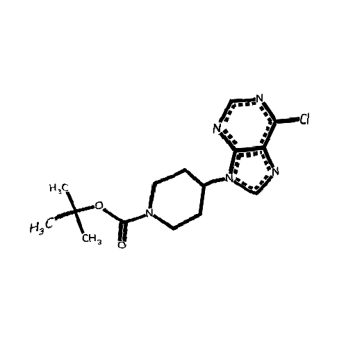 CC(C)(C)OC(=O)N1CCC(n2cnc3c(Cl)ncnc32)CC1